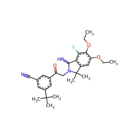 CCOc1cc2c(c(F)c1OCC)C(=N)N(CC(=O)c1cc(C#N)cc(C(C)(C)C)c1)C2(C)C